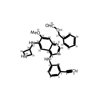 C#Cc1cccc(Nc2ncnc3cc(OC)c(NC4CNC4)cc23)c1.O=COCc1ccccc1